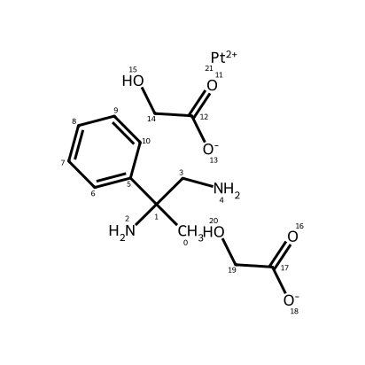 CC(N)(CN)c1ccccc1.O=C([O-])CO.O=C([O-])CO.[Pt+2]